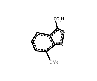 COc1cccc2c(C(=O)O)nsc12